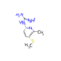 CSc1ccc(NC(=N)N)nc1C